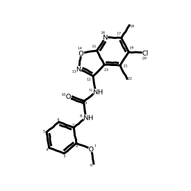 COc1ccccc1NC(=O)Nc1noc2nc(C)c(Cl)c(C)c12